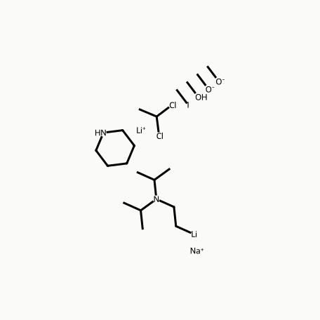 C1CCNCC1.CC(Cl)Cl.CI.CO.C[O-].C[O-].[Li+].[Li][CH2]CN(C(C)C)C(C)C.[Na+]